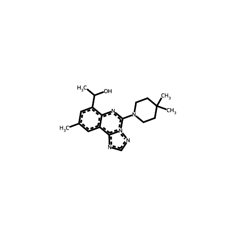 Cc1cc(C(C)O)c2nc(N3CCC(C)(C)CC3)n3ncnc3c2c1